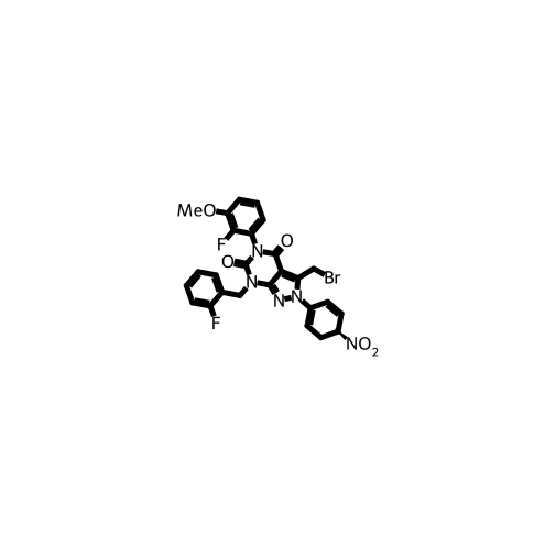 COc1cccc(-n2c(=O)c3c(CBr)n(C4=CC[C@H]([N+](=O)[O-])C=C4)nc3n(Cc3ccccc3F)c2=O)c1F